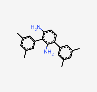 Cc1cc(C)cc(-c2ccc(N)c(-c3cc(C)cc(C)c3)c2N)c1